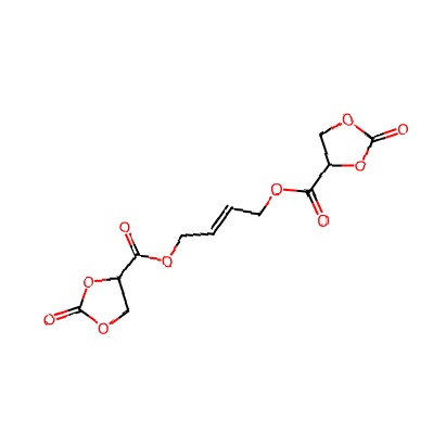 O=C1OCC(C(=O)OC/C=C/COC(=O)C2COC(=O)O2)O1